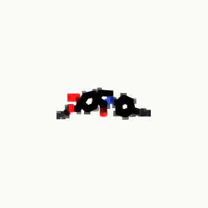 CC(C)OCC1(O)CCC2(CCN(c3ccc(C(C)(C)C)cc3)C2=O)CC1